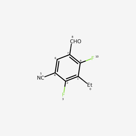 CCc1c(F)c(C#N)cc(C=O)c1F